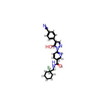 N#Cc1ccc(-c2cnn(-c3ccc(C(=O)NCC4(F)CCCCC4)cn3)c2O)cc1